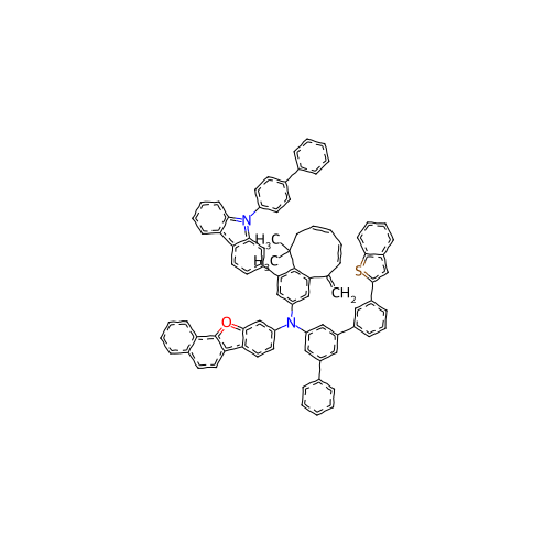 C=C1/C=C\C=C/CC(C)(C)c2c1cc(N(c1cc(-c3ccccc3)cc(-c3cccc(-c4cc5ccccc5s4)c3)c1)c1ccc3c(c1)oc1c4ccccc4ccc31)cc2-c1ccc2c3ccccc3n(-c3ccc(-c4ccccc4)cc3)c2c1